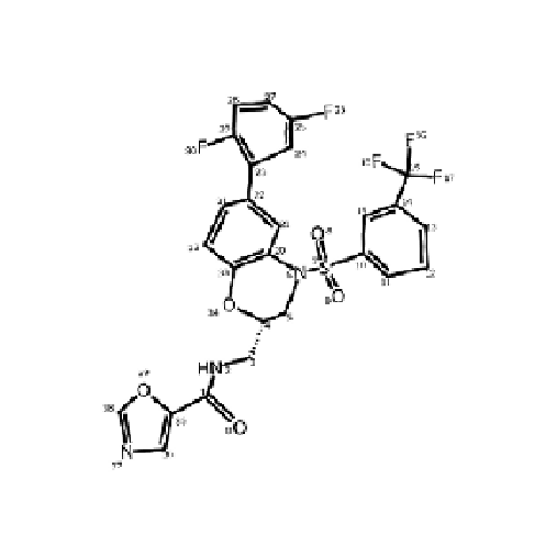 O=C(NC[C@H]1CN(S(=O)(=O)c2cccc(C(F)(F)F)c2)c2cc(-c3cc(F)ccc3F)ccc2O1)c1cnco1